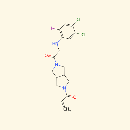 C=CC(=O)N1CC2CN(C(=O)CNc3cc(Cl)c(Cl)cc3I)CC2C1